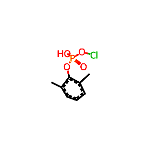 Cc1cccc(C)c1OP(=O)(O)OCl